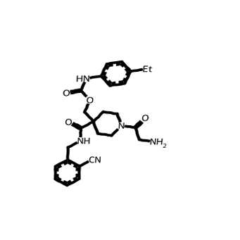 CCc1ccc(NC(=O)OCC2(C(=O)NCc3ccccc3C#N)CCN(C(=O)CN)CC2)cc1